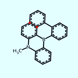 CN1c2ccccc2B(c2ccccc2-c2ccccc2)c2ccccc21